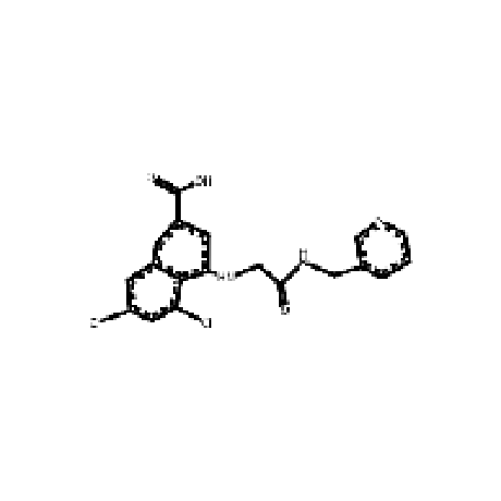 O=C(CNc1cc(C(=O)O)cc2cc(Cl)cc(Cl)c12)NCc1cccnc1